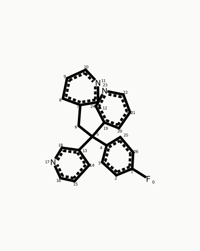 Fc1ccc(C(Cc2cccnc2)(c2cccnc2)c2cccnc2)cc1